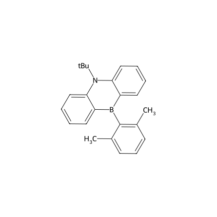 Cc1cccc(C)c1B1c2ccccc2N(C(C)(C)C)c2ccccc21